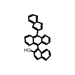 Oc1ccc2ccccc2c1-c1c2ccccc2c(-c2ccc3ccccc3c2)c2ccccc12